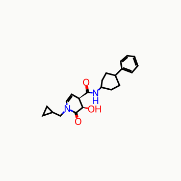 O=C(NC1CCC(c2ccccc2)CC1)[C@@H]1C=CN(CC2CC2)C(=O)[C@@H]1O